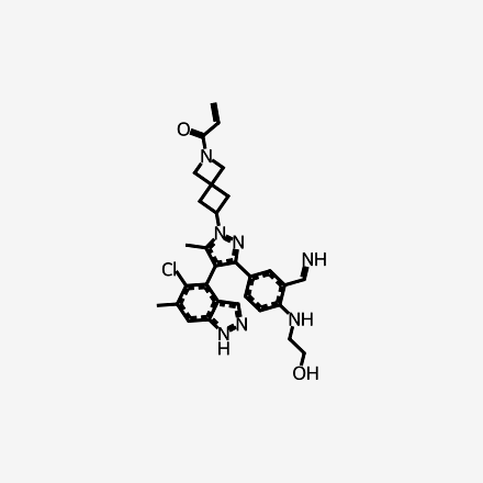 C=CC(=O)N1CC2(CC(n3nc(-c4ccc(NCCO)c(C=N)c4)c(-c4c(Cl)c(C)cc5[nH]ncc45)c3C)C2)C1